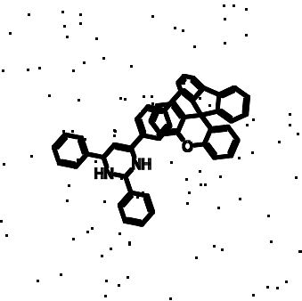 C1=C(c2ccc(-c3cccc4c3C3(c5ccccc5Oc5ccccc53)c3ccccc3-4)cc2)NC(c2ccccc2)NC1c1ccccc1